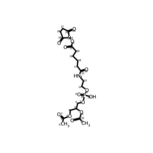 CC(=O)OCC(COP(=O)(O)OCCNC(=O)CCCCC(=O)ON1C(=O)CCC1=O)OC(C)=O